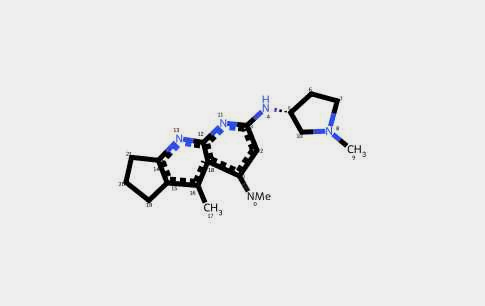 CNc1cc(N[C@@H]2CCN(C)C2)nc2nc3c(c(C)c12)CCC3